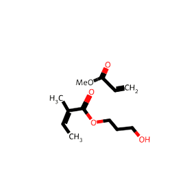 C=CC(=O)OC.CC=C(C)C(=O)OCCCO